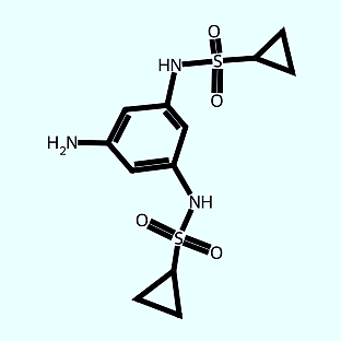 Nc1cc(NS(=O)(=O)C2CC2)cc(NS(=O)(=O)C2CC2)c1